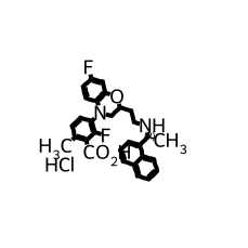 Cc1ccc(N2CC(CCN[C@H](C)c3cccc4ccccc34)Oc3cc(F)ccc32)c(F)c1C(=O)O.Cl